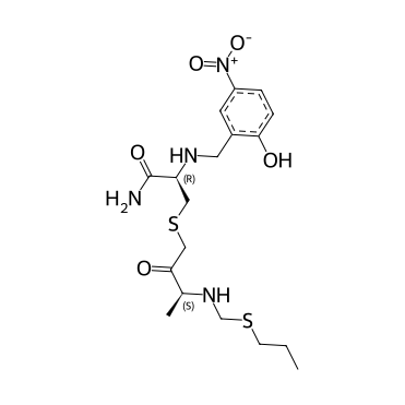 CCCSCN[C@@H](C)C(=O)CSC[C@H](NCc1cc([N+](=O)[O-])ccc1O)C(N)=O